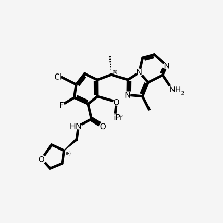 Cc1nc([C@@H](C)c2cc(Cl)c(F)c(C(=O)NC[C@H]3CCOC3)c2OC(C)C)n2ccnc(N)c12